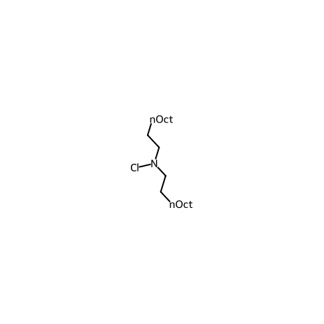 CCCCCCCCCCN(Cl)CCCCCCCCCC